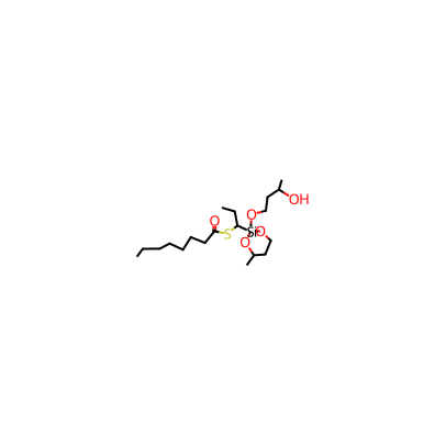 CCCCCCCC(=O)SC(CC)[Si]1(OCCC(C)O)OCCC(C)O1